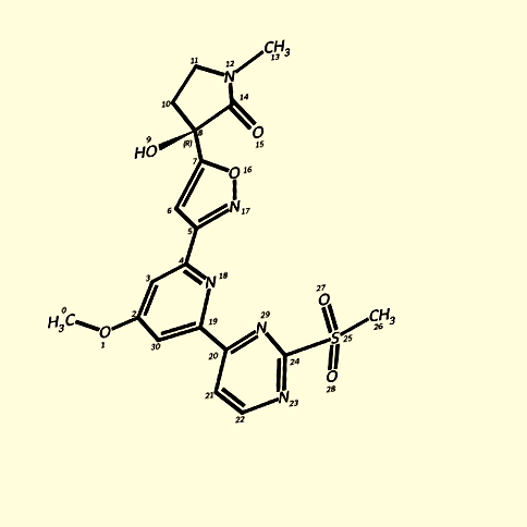 COc1cc(-c2cc([C@]3(O)CCN(C)C3=O)on2)nc(-c2ccnc(S(C)(=O)=O)n2)c1